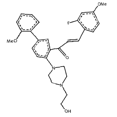 COc1ccc(C=CC(=O)c2cc(-c3ccccc3OC)ccc2N2CCN(CCO)CC2)c(F)c1